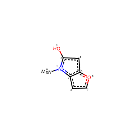 CNn1c(O)cc2occc21